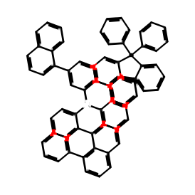 c1ccc(-c2ccc(-c3cccc4ccccc34)cc2N(c2ccccc2-c2cccc3c2-c2ccccc2C3(c2ccccc2)c2ccccc2)c2ccccc2-c2cccc3cccc(-c4ccccc4)c23)cc1